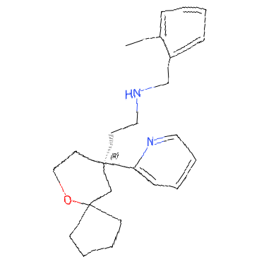 Cc1ccccc1CNCC[C@@]1(c2ccccn2)CCOC2(CCCC2)C1